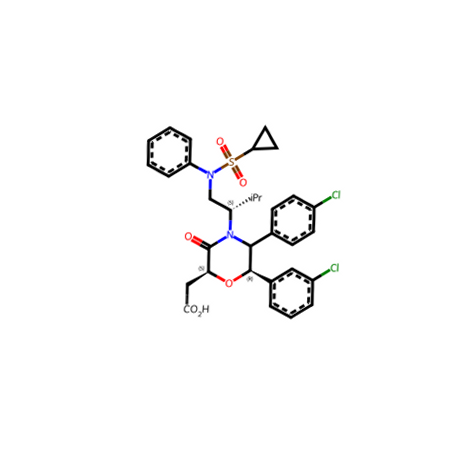 CC(C)[C@@H](CN(c1ccccc1)S(=O)(=O)C1CC1)N1C(=O)[C@H](CC(=O)O)O[C@H](c2cccc(Cl)c2)C1c1ccc(Cl)cc1